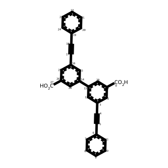 O=C(O)c1cc(C#Cc2ccccc2)cc(-c2cc(C#Cc3ccccc3)cc(C(=O)O)c2)c1